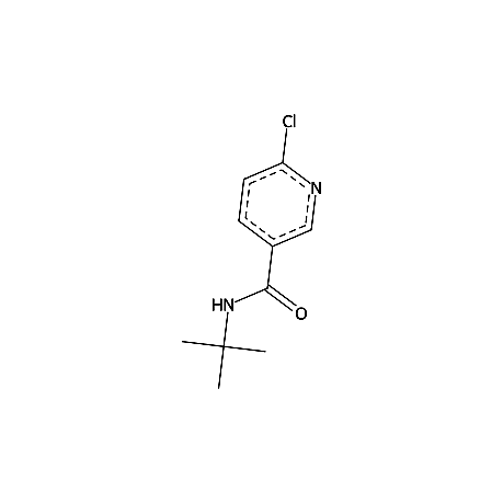 CC(C)(C)NC(=O)c1ccc(Cl)nc1